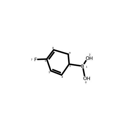 OB(O)C1C=CC(F)=CC1